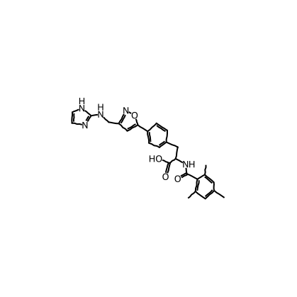 Cc1cc(C)c(C(=O)NC(Cc2ccc(-c3cc(CNc4ncc[nH]4)no3)cc2)C(=O)O)c(C)c1